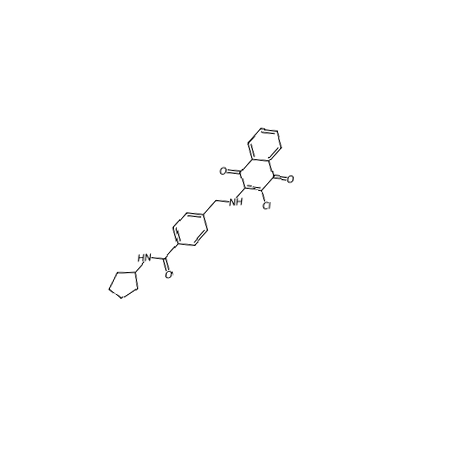 O=C(NC1CCCC1)c1ccc(CNC2=C(Cl)C(=O)c3ccccc3C2=O)cc1